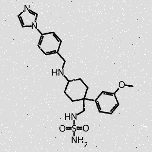 COc1cccc(C2(CNS(N)(=O)=O)CCC(NCc3ccc(-n4ccnc4)cc3)CC2)c1